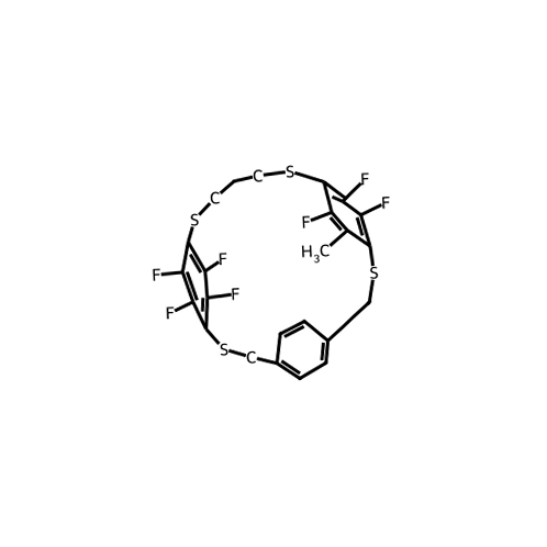 Cc1c(F)c2c(F)c(F)c1SCc1ccc(cc1)CSc1c(F)c(F)c(c(F)c1F)SCCCS2